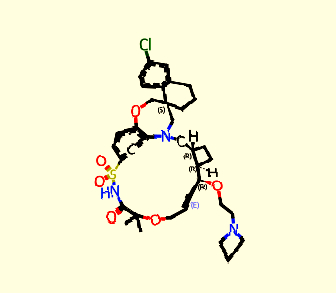 CC1(C)OC/C=C/[C@H](OCCN2CCC2)[C@@H]2CC[C@H]2CN2C[C@@]3(CCCc4cc(Cl)ccc43)COc3ccc(cc32)S(=O)(=O)NC1=O